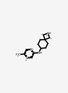 FC(F)(F)c1cnc(NC2CCC3(CC2)CNC3)cn1